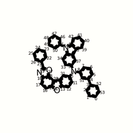 c1ccc(-c2cccc(N(c3ccc4oc5ccc6nc(-c7ccccc7)oc6c5c4c3)c3ccc4c(c3)c3ccccc3n4-c3ccccc3)c2)cc1